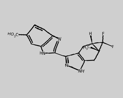 C[C@@]12Cc3[nH]nc(-c4nc5ccc(C(=O)O)cc5[nH]4)c3C[C@@H]1C2(F)F